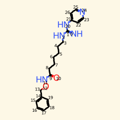 N=C(NCCCCCCC(=O)NOCc1ccccc1)Nc1ccncc1